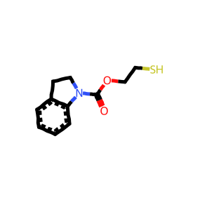 O=C(OCCS)N1CCc2ccccc21